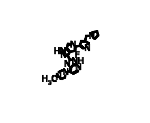 CN1CCN(c2ccnc3[nH]c(-c4n[nH]c5cnc(-c6cncc(CN7CCCC7)c6)c(F)c45)nc23)CC1